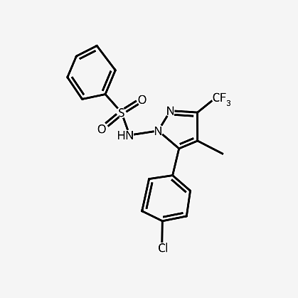 Cc1c(C(F)(F)F)nn(NS(=O)(=O)c2ccccc2)c1-c1ccc(Cl)cc1